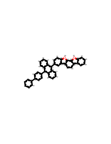 c1ccc(-c2ccc(-c3c4ccccc4c(-c4ccc5oc6c(ccc7c8ccccc8oc76)c5c4)c4ccccc34)cc2)cc1